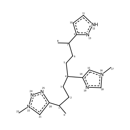 CC(CCC(CCC(C)c1cc[nH]n1)c1cn(C)cn1)c1cn(C)nn1